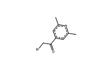 Cc1cc(C(=O)CBr)cc(C)n1